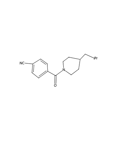 CC(C)CC1CCN(C(=O)c2ccc(C#N)cc2)CC1